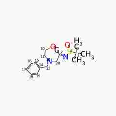 CC(C)(C)[S+]([O-])/N=C1\COCCN(Cc2ccccc2)C1